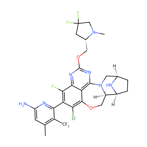 Cc1cc(N)nc(-c2c(Cl)c3c4c(nc(OC[C@@H]5CC(F)(F)CN5C)nc4c2F)N2C[C@H]4CC[C@H](N4)[C@H]2CO3)c1C(F)(F)F